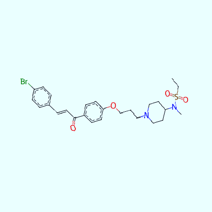 CCS(=O)(=O)N(C)C1CCN(CCCOc2ccc(C(=O)/C=C/c3ccc(Br)cc3)cc2)CC1